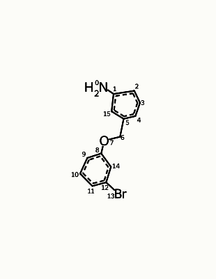 Nc1cccc(COc2cccc(Br)c2)c1